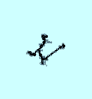 CC[C@@H]1C(=O)N(C)c2ccc(Nc3ccc(C(=O)NC4CCN(CCC(COCC#Cc5cccc6c5CN(C5CCC(=O)NC5=O)C6=O)NC(=O)OCc5ccc(NC(=O)[C@H](CCCNC(N)=O)NC(=O)[C@@H](NC(=O)CCOCCOCCOCCOCCOCCNC(=O)CCN6C(=O)C=CC6=O)C(C)C)cc5)CC4)cc3OC)nc2N1C1CCCC1